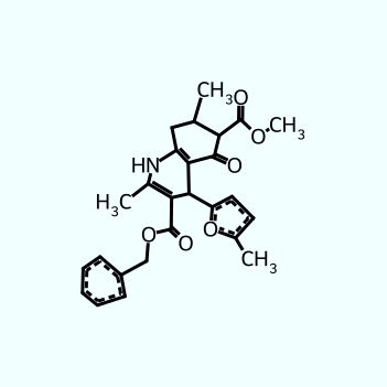 COC(=O)C1C(=O)C2=C(CC1C)NC(C)=C(C(=O)OCc1ccccc1)C2c1ccc(C)o1